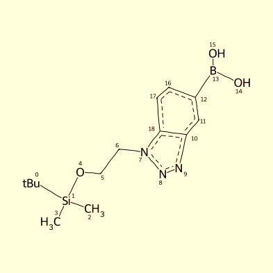 CC(C)(C)[Si](C)(C)OCCn1nnc2cc(B(O)O)ccc21